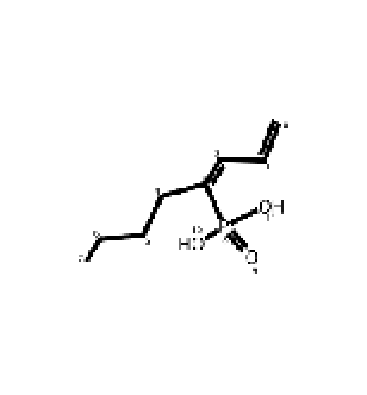 C=CC=C(CCCC)P(=O)(O)O